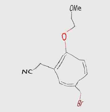 COCOc1ccc(Br)cc1CC#N